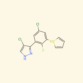 Fc1c(-c2n[nH]cc2Cl)cc(Cl)cc1[SH]1C=CC=C1